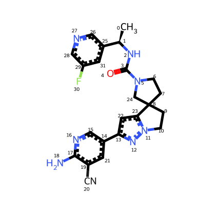 C[C@@H](NC(=O)N1CCC2(CCn3nc(-c4cnc(N)c(C#N)c4)cc32)C1)c1cncc(F)c1